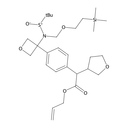 C=CCOC(=O)C(c1ccc(C2(N(COCC[Si](C)(C)C)[S+]([O-])C(C)(C)C)COC2)cc1)C1CCOC1